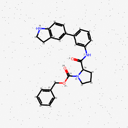 O=C(Nc1cccc(-c2ccc3c(c2)CCN3)c1)C1CCCN1C(=O)OCc1ccccc1